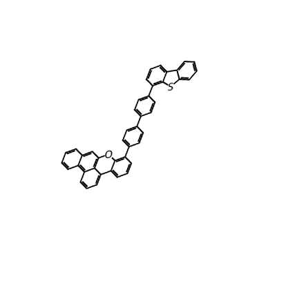 c1cc(-c2ccc(-c3ccc(-c4cccc5c4sc4ccccc45)cc3)cc2)c2c(c1)-c1cccc3c1c(cc1ccccc13)O2